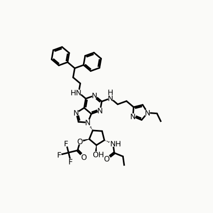 CCC(=O)N[C@H]1C[C@@H](n2cnc3c(NCCC(c4ccccc4)c4ccccc4)nc(NCCc4cn(CC)cn4)nc32)[C@H](OC(=O)C(F)(F)F)[C@@H]1O